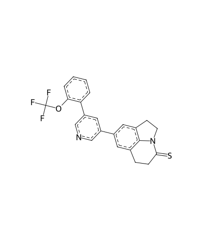 FC(F)(F)Oc1ccccc1-c1cncc(-c2cc3c4c(c2)CCN4C(=S)CC3)c1